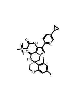 CS(=O)(=O)CC(=O)Nc1c(-c2ccc(C3CC3)cn2)nn2c1C(=O)N[C@@]1(CCOc3cc(F)cc(F)c31)C2